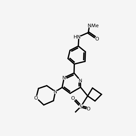 CNC(=O)Nc1ccc(-c2nc(N3CCOCC3)cc(C3(S(C)(=O)=O)CCC3)n2)cc1